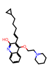 Oc1nc2ccccc2c(OCCN2CCCCC2)c1/C=C/CCCC1CC1